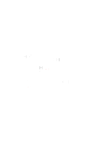 CCCOC(C1CO1)[SiH](OCC)OCC